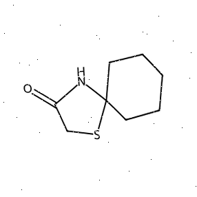 O=C1CSC2(CCCCC2)N1